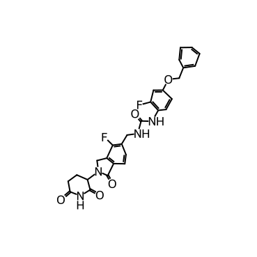 O=C1CCC(N2Cc3c(ccc(CNC(=O)Nc4ccc(OCc5ccccc5)cc4F)c3F)C2=O)C(=O)N1